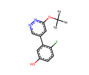 [2H]C([2H])([2H])Oc1cc(-c2cc(O)ccc2F)cnn1